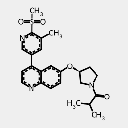 Cc1cc(-c2ccnc3ccc(O[C@H]4CCN(C(=O)C(C)C)C4)cc23)cnc1S(C)(=O)=O